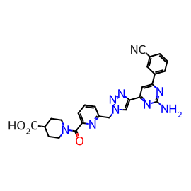 N#Cc1cccc(-c2cc(-c3cn(Cc4cccc(C(=O)N5CCC(C(=O)O)CC5)n4)nn3)nc(N)n2)c1